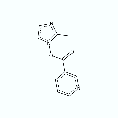 Cc1nccn1OC(=O)c1cccnc1